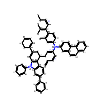 C=C/C=C\C(=C/CC1CC(C2=CC=CCC2)=Cc2c1c1ccc(-c3ccccc3)cc1n2-c1ccccc1)N(c1ccc(C(/C=C\CC)=C(C)C)c(C)c1)c1ccc2c(ccc3ccccc32)c1